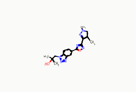 CC1CN(C)N=C1c1noc(-c2ccc3c(c2)nnn3CC(C)(C)O)n1